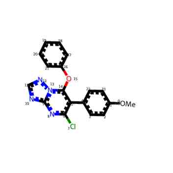 COc1ccc(-c2c(Cl)nc3ncnn3c2Oc2ccccc2)cc1